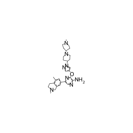 Cc1cc(-c2cnc(N)c(Oc3cnn(C4CCN(C5CCN(C)CC5)CC4)c3)n2)cc2c1CCN(C)C2